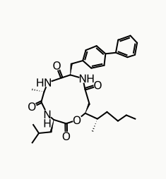 CCCC[C@H](C)[C@@H]1CC(=O)N[C@H](Cc2ccc(-c3ccccc3)cc2)C(=O)N[C@@H](C)C(=O)N[C@H](CC(C)C)C(=O)O1